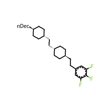 CCCCCCCCCC[C@H]1CC[C@H](CC[C@H]2CC[C@H](CCc3cc(F)c(F)c(F)c3)CC2)CC1